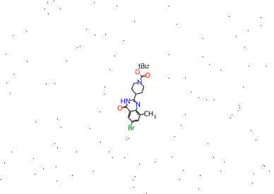 Cc1cc(Br)cc2c(=O)[nH]c(C3CCN(C(=O)OC(C)(C)C)CC3)nc12